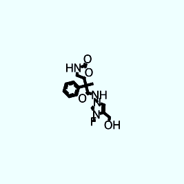 CC(C(=O)NN1C=C(CO)N(F)C1)(c1ccccc1)C1CNC(=O)O1